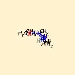 CCc1nn(CCCCCNC(=O)OC(C)(C)C)cc1Nc1nc(F)nc2c1ncn2C(C)(C)C